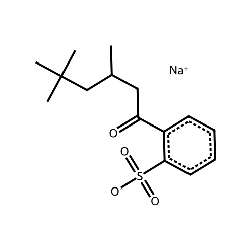 CC(CC(=O)c1ccccc1S(=O)(=O)[O-])CC(C)(C)C.[Na+]